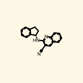 N#Cc1cc2ccccc2nc1N[C@@H]1CCc2ccccc21